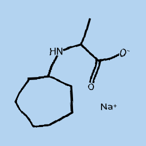 CC(NC1CCCCCC1)C(=O)[O-].[Na+]